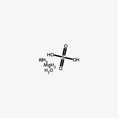 O.O=S(=O)(O)O.[AlH3].[MgH2]